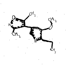 CCc1ncc(-c2c(C)noc2C)cc1OC